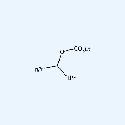 CCCC(CCC)OC(=O)OCC